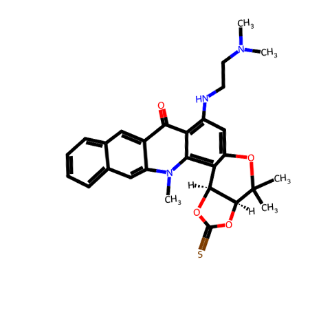 CN(C)CCNc1cc2c(c3c1c(=O)c1cc4ccccc4cc1n3C)[C@@H]1OC(=S)O[C@@H]1C(C)(C)O2